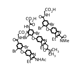 CCn1c(C(=O)NC)nc2ccc(Oc3c(Br)cc(C(=O)NCC(=O)O)cc3Br)cc21.CCn1c(CC(=O)N(C)C)nc2ccc(Oc3c(Br)cc(NC(=O)CC(=O)O)cc3Br)cc21.CCn1c(NC(C)=O)nc2ccc(Oc3c(Br)cc(C(=O)NCC(=O)O)cc3Br)cc21